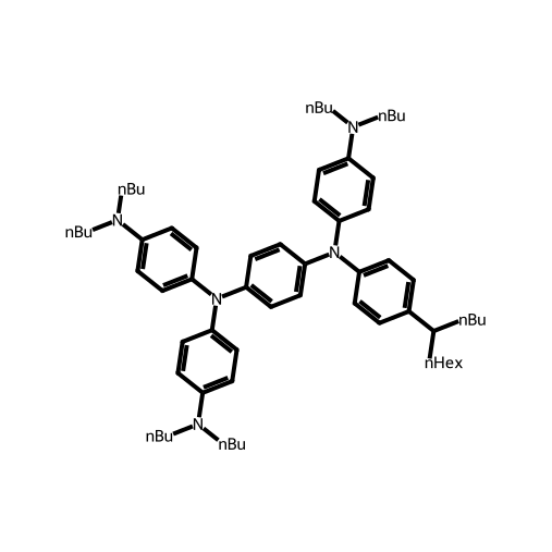 CCCCCCC(CCCC)c1ccc(N(c2ccc(N(CCCC)CCCC)cc2)c2ccc(N(c3ccc(N(CCCC)CCCC)cc3)c3ccc(N(CCCC)CCCC)cc3)cc2)cc1